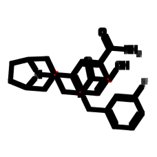 NC(=O)c1cccc(C2CC3CCC(C2)N3CCN(Cc2cccc(F)c2)C(=O)CO)c1